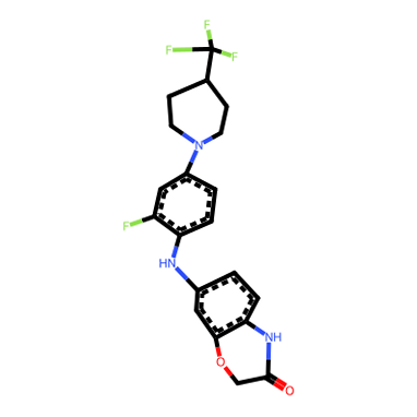 O=C1COc2cc(Nc3ccc(N4CCC(C(F)(F)F)CC4)cc3F)ccc2N1